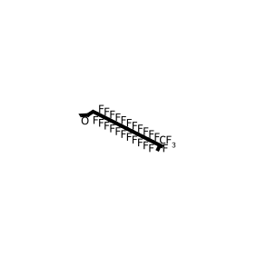 CC(F)(C(F)(F)F)C(F)(F)C(F)(F)C(F)(F)C(F)(F)C(F)(F)C(F)(F)C(F)(F)C(F)(F)C(F)(F)C(F)(F)C(F)(F)CC1CO1